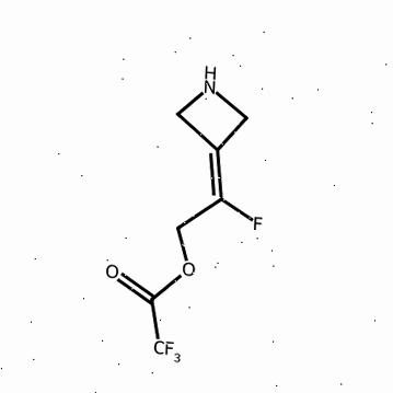 O=C(OCC(F)=C1CNC1)C(F)(F)F